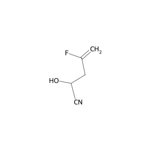 C=C(F)CC(O)C#N